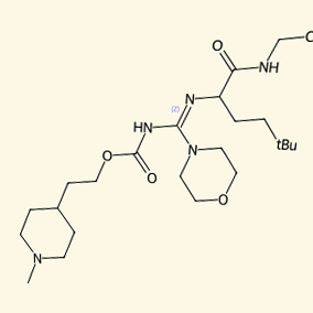 CN1CCC(CCOC(=O)N/C(=N/C(CCC(C)(C)C)C(=O)NCC#N)N2CCOCC2)CC1